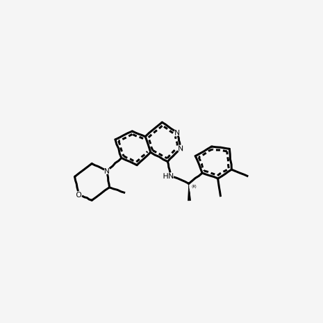 Cc1cccc([C@@H](C)Nc2nncc3ccc(N4CCOCC4C)cc23)c1C